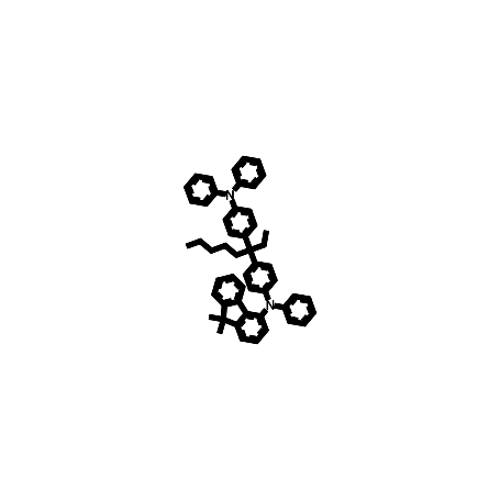 CCCCCC(CC)(c1ccc(N(c2ccccc2)c2ccccc2)cc1)c1ccc(N(c2ccccc2)c2cccc3c2-c2ccccc2C3(C)C)cc1